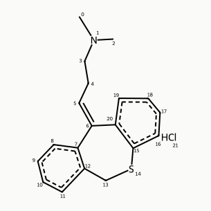 CN(C)CCC=C1c2ccccc2CSc2ccccc21.Cl